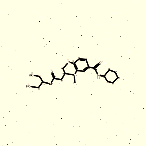 CN1c2cc(C(=O)NC3CCCCC3)ccc2OCC1CC(=O)NC(CO)CO